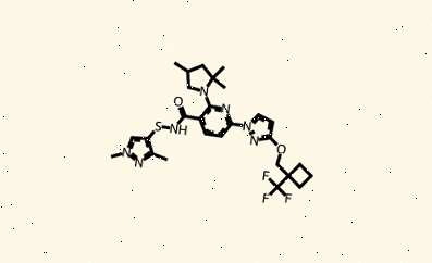 Cc1nn(C)cc1SNC(=O)c1ccc(-n2ccc(OCC3(C(F)(F)F)CCC3)n2)nc1N1CC(C)CC1(C)C